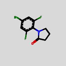 O=C1CCCN1c1c(F)cc(Br)cc1F